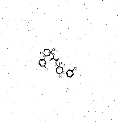 C[C@]1(OC(=O)C(=O)O[C@@]2(C)CCN[C@@H](c3cccc(Cl)c3)C2)CCN[C@@H](c2cccc(Cl)c2)C1